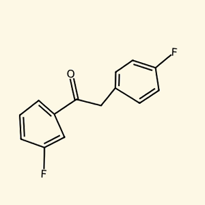 O=C(Cc1ccc(F)cc1)c1cccc(F)c1